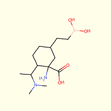 CC(C1CCC(CCB(O)O)CC1(N)C(=O)O)N(C)C